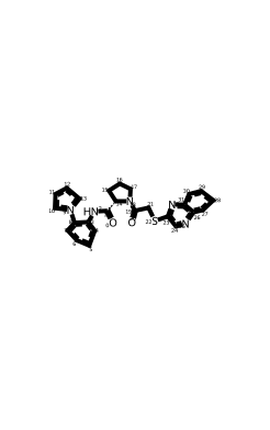 O=C(Nc1ccccc1-n1cccc1)[C@@H]1CCCN1C(=O)CSc1cnc2ccccc2n1